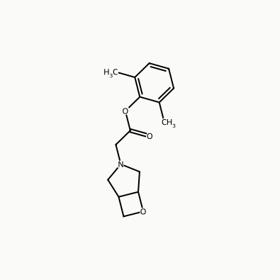 Cc1cccc(C)c1OC(=O)CN1CC2COC2C1